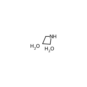 C1CNC1.O.O